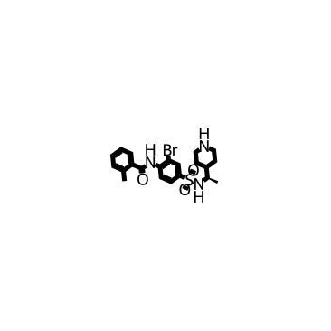 Cc1ccccc1C(=O)Nc1ccc(S(=O)(=O)N[C@H](C)C2CCNCC2)cc1Br